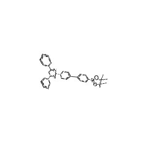 CC1(C)OB(c2ccc(-c3ccc(-c4nc(-c5ccccc5)cc(-c5ccccc5)n4)cc3)cc2)OC1(C)C